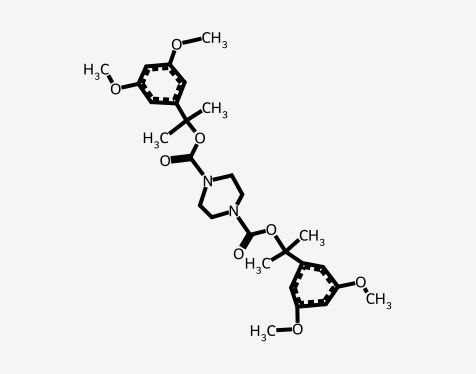 COc1cc(OC)cc(C(C)(C)OC(=O)N2CCN(C(=O)OC(C)(C)c3cc(OC)cc(OC)c3)CC2)c1